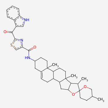 CC1CCC2(OC1)OC1CC3C4CC=C5CC(NC(=O)c6csc(C(=O)c7c[nH]c8ccccc78)n6)CCC5(C)C4CCC3(C)C1C2C